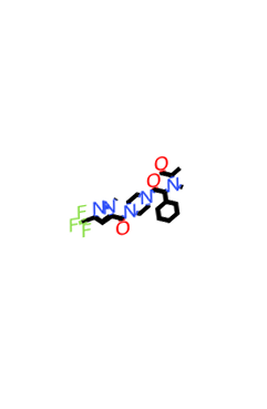 CC(C=O)N(C)C(C(=O)N1CCN(C(=O)c2cc(C(F)(F)F)nn2C)CC1)C1CCCCC1